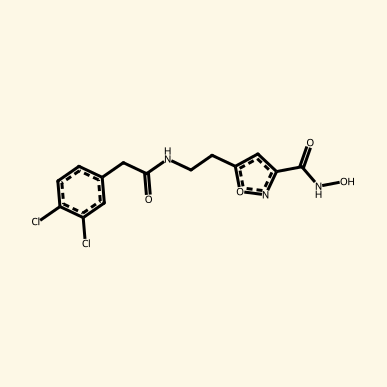 O=C(Cc1ccc(Cl)c(Cl)c1)NCCc1cc(C(=O)NO)no1